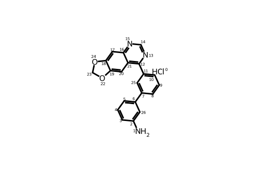 Cl.Nc1cccc(-c2cccc(-c3ncnc4cc5c(cc34)OCO5)c2)c1